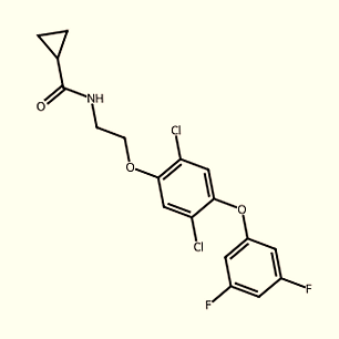 O=C(NCCOc1cc(Cl)c(Oc2cc(F)cc(F)c2)cc1Cl)C1CC1